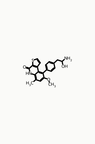 COc1cc(C)c2[nH]c(=O)c3sccc3c2c1-c1ccc(CC(N)O)cc1